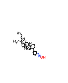 CC(C)CCC[C@@H](C)[C@H]1CC[C@H]2[C@@H]3CC=C4C(c5cccc(N=NO)c5)[CH]CC[C@]4(C)[C@H]3CC[C@]12C